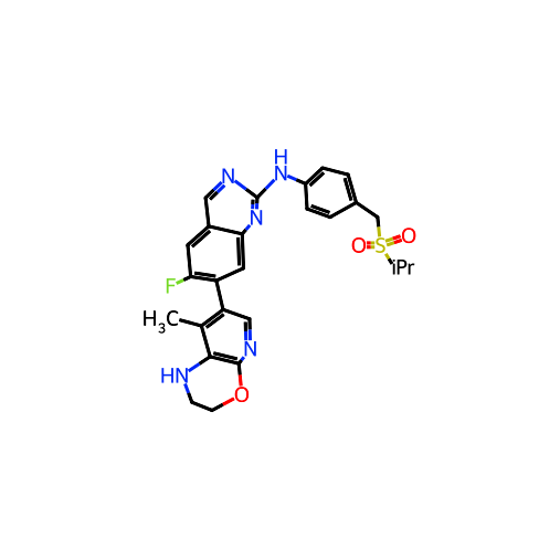 Cc1c(-c2cc3nc(Nc4ccc(CS(=O)(=O)C(C)C)cc4)ncc3cc2F)cnc2c1NCCO2